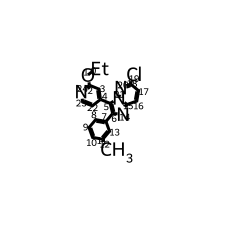 CCOc1cc(-c2c(-c3cccc(C)c3)nc3ccc(Cl)nn23)ccn1